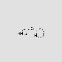 Cc1cccnc1OC1CNC1